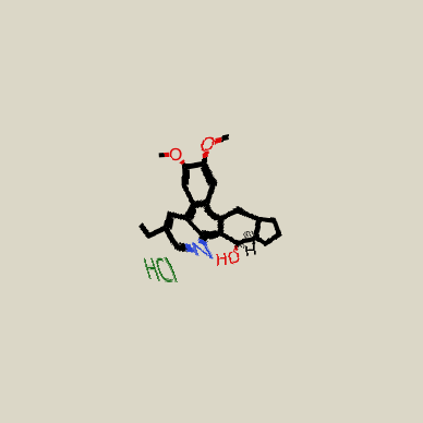 CCc1cnc2c3c(c4cc(OC)c(OC)cc4c2c1)CC1CCC[C@H]1[C@H]3O.Cl